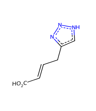 O=C(O)C=CCc1c[nH]nn1